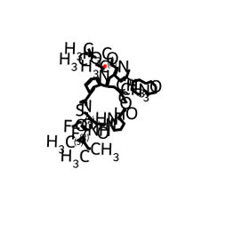 CO[C@@H](C)c1ncc([C@@H]2CCN3CCOCC3C2)cc1-c1c2c3cc(ccc3n1CCOC(C)C)-c1csc(n1)[C@@H](OCC(F)F)[C@H](NC(=O)[C@H]1C(C(C)C)[C@@H]1C)C(=O)N1CCC[C@H](N1)C(=O)OCC(C)(C)C2